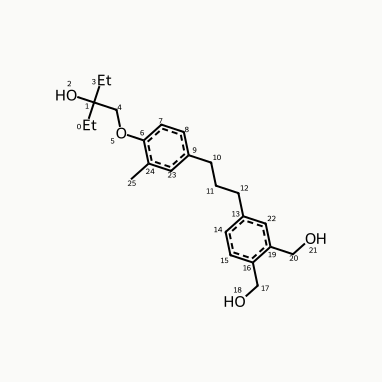 CCC(O)(CC)COc1ccc(CCCc2ccc(CO)c(CO)c2)cc1C